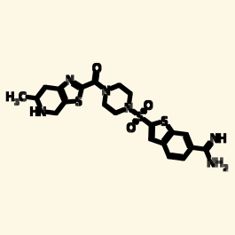 CC1Cc2nc(C(=O)N3CCN(S(=O)(=O)c4cc5ccc(C(=N)N)cc5s4)CC3)sc2CN1